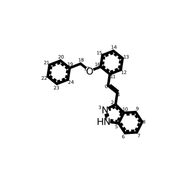 C(=Cc1n[nH]c2ccccc12)c1ccccc1OCc1ccccc1